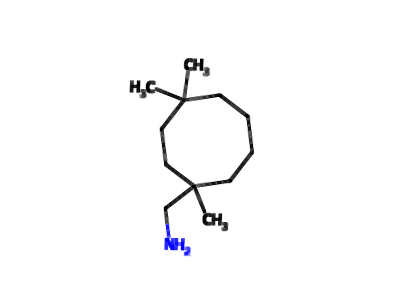 CC1(C)CCCCC(C)(CN)CC1